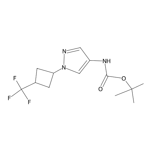 CC(C)(C)OC(=O)Nc1cnn(C2CC(C(F)(F)F)C2)c1